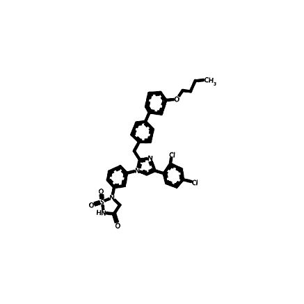 CCCCOc1cccc(-c2ccc(Cc3nc(-c4ccc(Cl)cc4Cl)cn3-c3cccc(N4CC(=O)NS4(=O)=O)c3)cc2)c1